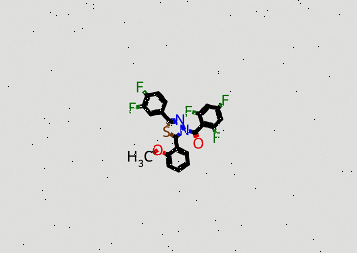 COc1ccccc1C1SC(c2ccc(F)c(F)c2)=NN1C(=O)c1c(F)cc(F)cc1F